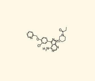 CCC(=O)N1CCC[C@@H](n2nc(-c3ccc(OCc4ccccn4)c(Cl)c3)c3c(N)ncnc32)C1